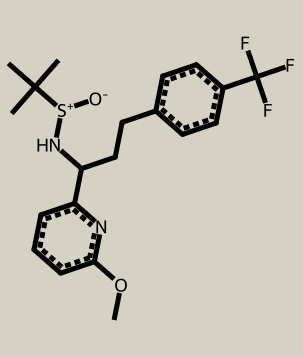 COc1cccc(C(CCc2ccc(C(F)(F)F)cc2)N[S+]([O-])C(C)(C)C)n1